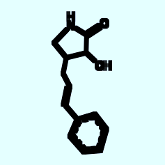 O=C1NCC(CC=Cc2ccccc2)C1O